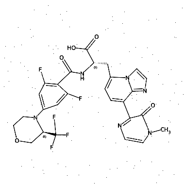 Cn1ccnc(-c2ccc(C[C@H](NC(=O)c3c(F)cc(N4CCOC[C@@H]4C(F)(F)F)cc3F)C(=O)O)n3ccnc23)c1=O